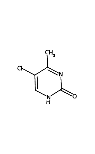 Cc1nc(=O)[nH]cc1Cl